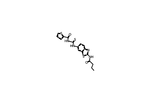 CCCC(=O)Nc1nc2ccc(NC(=S)NC(=O)c3cccs3)cc2s1